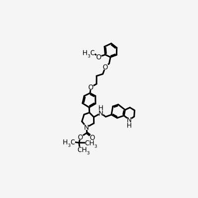 COc1ccccc1COCCCOc1ccc(C2CCN(C(=O)OC(C)(C)C)CC2NCc2ccc3c(c2)NCCC3)cc1